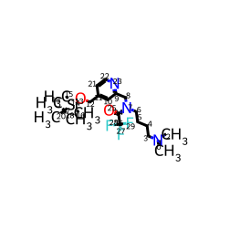 CN(C)CCCCN(Cc1cc(CO[Si](C)(C)C(C)(C)C)ccn1)C(=O)C(F)(F)F